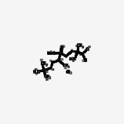 COP(=O)(CCC(C)(C)N(Cl)Cl)N(C)CC[N+](C)(C)C.[Cl-]